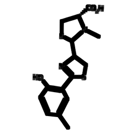 Cc1ccc(O)c(C2=NC(C3SC[C@H](C(=O)O)N3C)CS2)c1